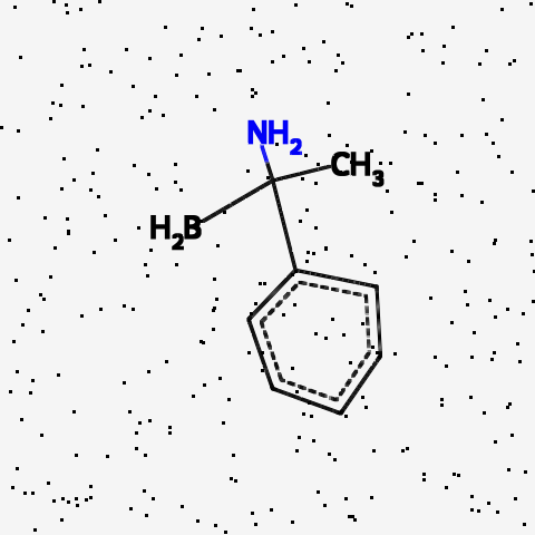 BC(C)(N)c1ccccc1